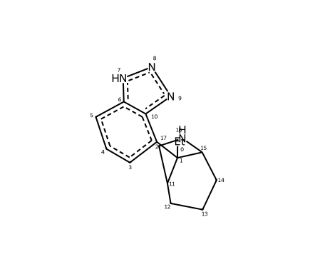 CCC1(c2cccc3[nH]nnc23)C2CCCC1NC2